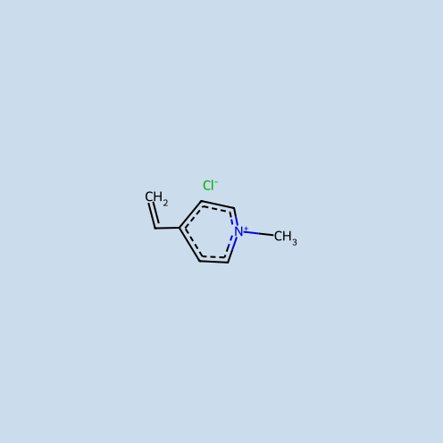 C=Cc1cc[n+](C)cc1.[Cl-]